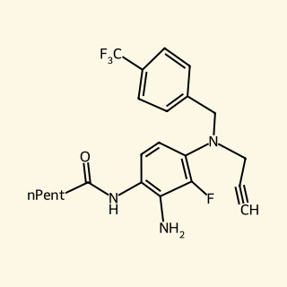 C#CCN(Cc1ccc(C(F)(F)F)cc1)c1ccc(NC(=O)CCCCC)c(N)c1F